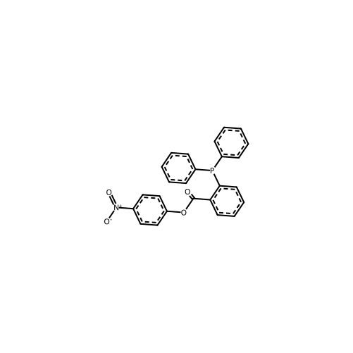 O=C(Oc1ccc([N+](=O)[O-])cc1)c1ccccc1P(c1ccccc1)c1ccccc1